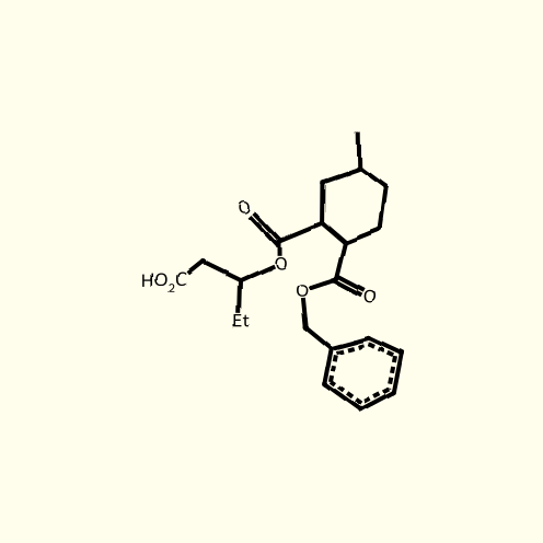 CCC(CC(=O)O)OC(=O)C1CC(C)CCC1C(=O)OCc1ccccc1